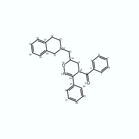 O=C(c1ccccc1)N1CC(CN2CCc3ccccc3C2)ON=C1c1ccccc1